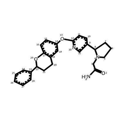 NC(=O)CN1CCCC1c1ccc(Oc2ccc3c(c2)CCC(c2ccccc2)O3)nc1